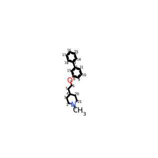 CN1CCC(CCOc2cccc(-c3c[c]ccc3)c2)CC1